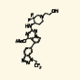 COc1nc(N[C@@H]2CCN(CCO)CC2(F)F)nn2ccc(-c3ccc4nnn(CC(F)(F)F)c4c3)c12